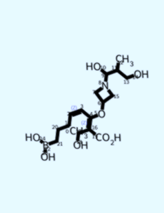 CC(/C=C\C(OC1CN(C(O)C(C)CO)C1)=C(/CO)C(=O)O)CCB(O)O